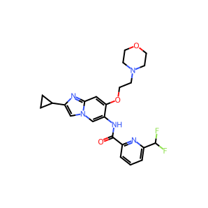 O=C(Nc1cn2cc(C3CC3)nc2cc1OCCN1CCOCC1)c1cccc(C(F)F)n1